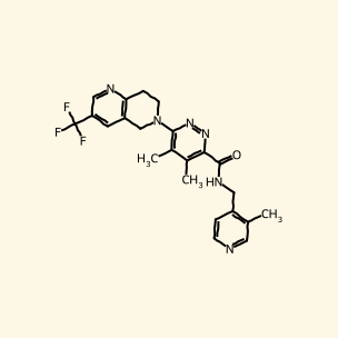 Cc1cnccc1CNC(=O)c1nnc(N2CCc3ncc(C(F)(F)F)cc3C2)c(C)c1C